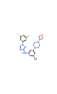 CCc1cc(Nc2ncn(-c3cc(F)cc(F)c3)n2)cc(N2CCN(C3COC3)CC2)c1